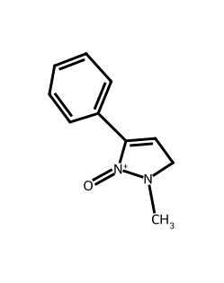 CN1CC=C(c2ccccc2)[N+]1=O